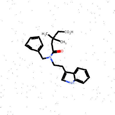 CC(C)(CC(=O)O)CC(=O)N(CCc1c[nH]c2ccccc12)Cc1ccccc1